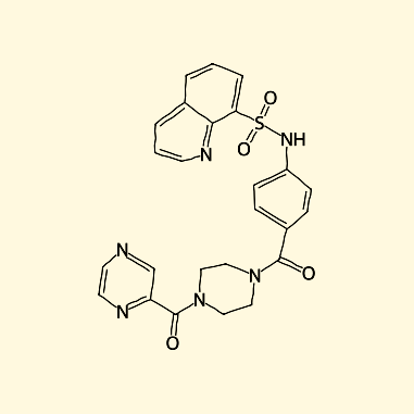 O=C(c1ccc(NS(=O)(=O)c2cccc3cccnc23)cc1)N1CCN(C(=O)c2cnccn2)CC1